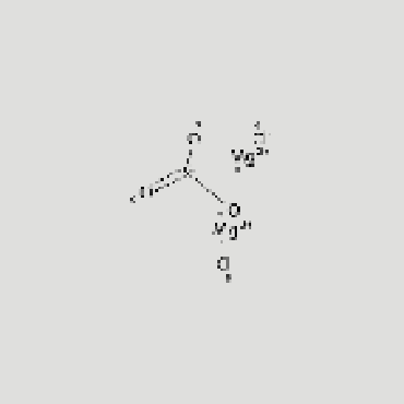 O=C([O-])[O-].[Cl-].[Cl-].[Mg+2].[Mg+2]